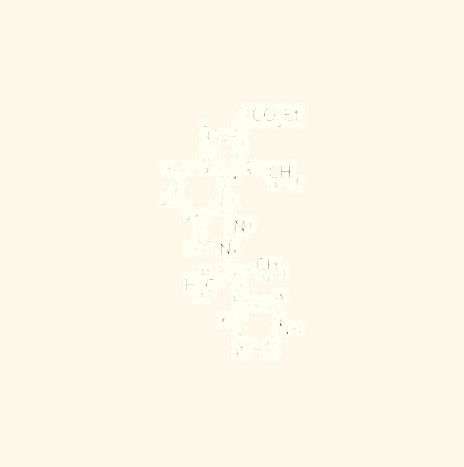 CCOC(=O)c1oc2c(c1C)-c1nn(C(C)(C)c3cccnc3)cc1CC2